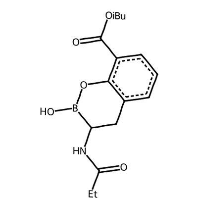 CCC(=O)NC1Cc2cccc(C(=O)OCC(C)C)c2OB1O